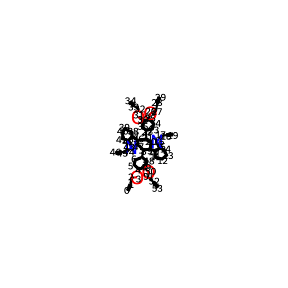 C#CCOc1ccc(-c2c3c4ccccc4n(CC#C)c3c(-c3ccc(OCC#C)c(OCC#C)c3)c3c4ccccc4n(CC#C)c23)cc1OCC#C